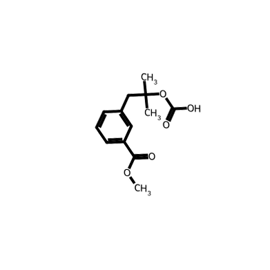 COC(=O)c1cccc(CC(C)(C)OC(=O)O)c1